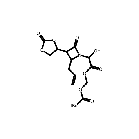 C=CCC1C(C2COC(=O)O2)C(=O)N1C(O)C(=O)OCOC(=O)C(C)(C)C